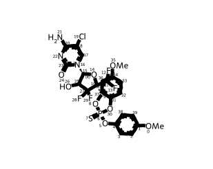 COc1ccc(OP(=S)(OC[C@@]2(C(F)F)O[C@@H](n3cc(Cl)c(N)nc3=O)C(O)C2(F)F)Oc2ccc(OC)cc2)cc1